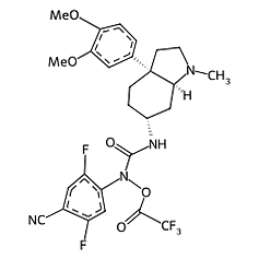 COc1ccc([C@@]23CC[C@@H](NC(=O)N(OC(=O)C(F)(F)F)c4cc(F)c(C#N)cc4F)C[C@@H]2N(C)CC3)cc1OC